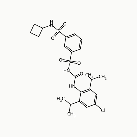 CC(C)c1cc(Cl)cc(C(C)C)c1NC(=O)NS(=O)(=O)c1cccc(S(=O)(=O)NC2CCC2)c1